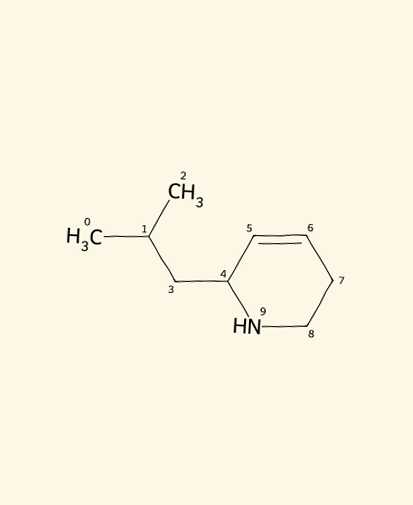 CC(C)CC1C=CCCN1